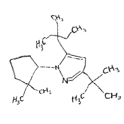 CC(C)(C)c1cc(C(C)(C)C)n(C2CCCC2(C)C)n1